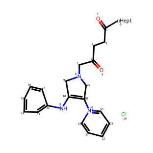 CCCCCCCC(=O)CCC(=O)CN1CC(Nc2ccccc2)=C([n+]2ccccc2)C1.[Cl-]